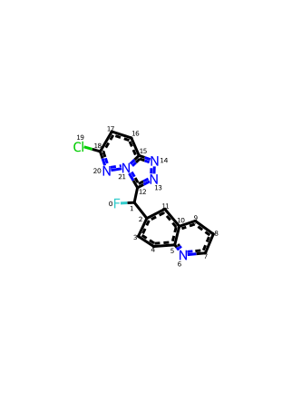 FC(c1ccc2ncccc2c1)c1nnc2ccc(Cl)nn12